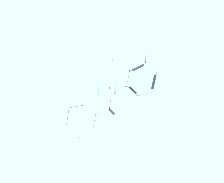 Cc1c(Br)cccc1NC(=O)C1CCCCC1